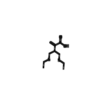 C=C(C(=O)O)C(CSCC)CSCC